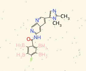 Bc1c(B)c(C(=O)Nc2cc3cc(-c4cnc(C)n4C)cnc3cn2)c(B)c(B)c1F